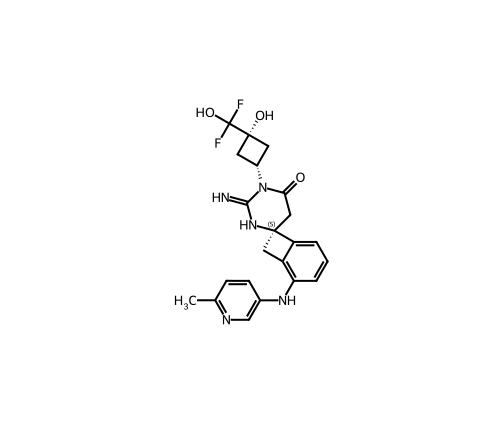 Cc1ccc(Nc2cccc3c2C[C@]32CC(=O)N([C@H]3C[C@](O)(C(O)(F)F)C3)C(=N)N2)cn1